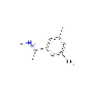 C/N=C(\C)c1cc(C)cc(C(F)(F)F)c1